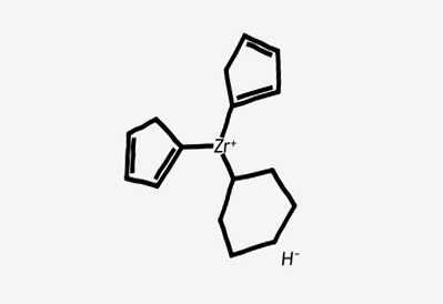 C1=CC[C]([Zr+]([C]2=CC=CC2)[CH]2CCCCC2)=C1.[H-]